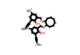 CC(C)(C)C#Cc1cc(C(C)(C)C)cc(CSC2CCCCCCC2SCc2cc(C(C)(C)C)cc(C#CC(C)(C)C)c2O)c1O